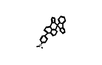 CP(C)c1ccc(-c2ccc3c4c2=CCCC=4C2(c4ccccc4-c4ccccc42)c2ccccc2-3)cc1